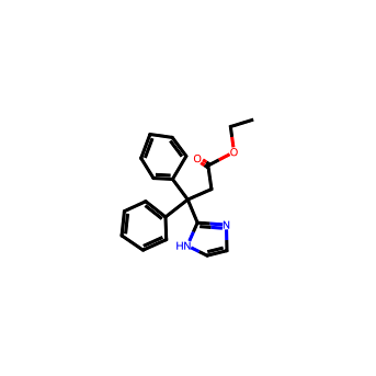 CCOC(=O)CC(c1ccccc1)(c1ccccc1)c1ncc[nH]1